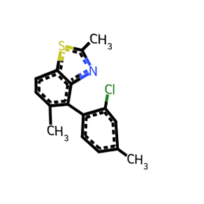 Cc1ccc(-c2c(C)ccc3sc(C)nc23)c(Cl)c1